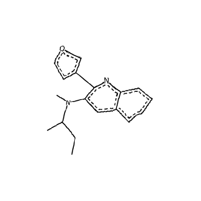 CCC(C)N(C)c1cc2ccccc2nc1-c1ccoc1